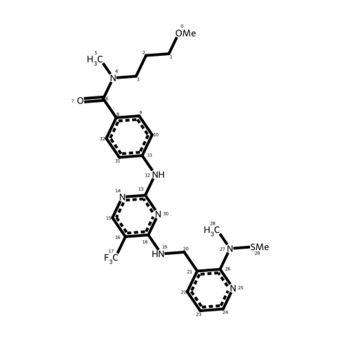 COCCCN(C)C(=O)c1ccc(Nc2ncc(C(F)(F)F)c(NCc3cccnc3N(C)SC)n2)cc1